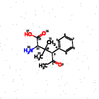 CC(=O)C(c1ccccc1)C(C)(C)C(N)C(=O)O